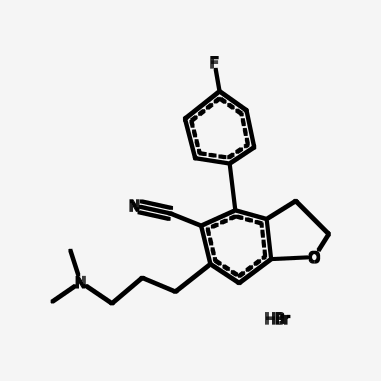 Br.CN(C)CCCc1cc2c(c(-c3ccc(F)cc3)c1C#N)CCO2